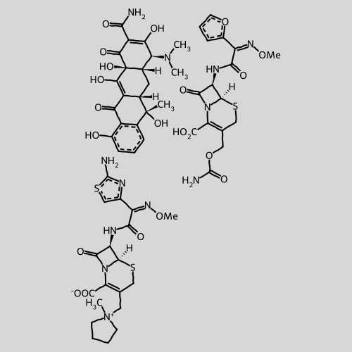 CN(C)[C@@H]1C(O)=C(C(N)=O)C(=O)[C@@]2(O)C(O)=C3C(=O)c4c(O)cccc4[C@@](C)(O)[C@H]3C[C@@H]12.CO/N=C(\C(=O)N[C@@H]1C(=O)N2C(C(=O)O)=C(COC(N)=O)CS[C@H]12)c1ccco1.CO/N=C(\C(=O)N[C@@H]1C(=O)N2C(C(=O)[O-])=C(C[N+]3(C)CCCC3)CS[C@H]12)c1csc(N)n1